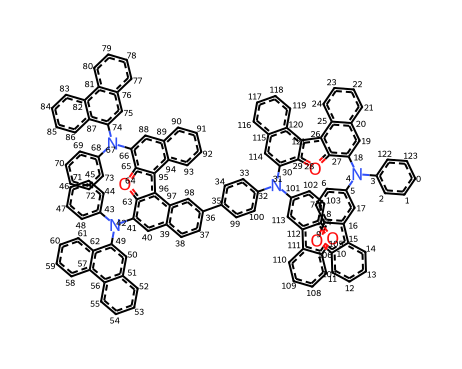 c1ccc(N(c2ccc3oc4ccccc4c3c2)c2cc3ccccc3c3c2oc2c(N(c4ccc(-c5ccc6cc(N(c7ccccc7)c7cc8ccccc8c8ccccc78)c7oc8c(N(c9ccccc9)c9cc%10ccccc%10c%10ccccc9%10)cc9ccccc9c8c7c6c5)cc4)c4ccc5oc6ccccc6c5c4)cc4ccccc4c23)cc1